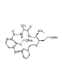 COCC[C@@H](OCc1ccccc1)[C@H](C)OC(=O)[C@H](C)NC(=O)c1nccc(OC)c1OCOC(C)=O